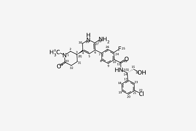 CN1C[C@@H](C2=CC(c3ccc(C(=O)N[C@H](CO)c4cccc(Cl)c4)c(F)c3)=C(N)NC2)CCC1=O